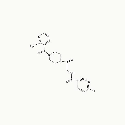 O=C(NCC(=O)N1CCN(C(=O)c2ccccc2C(F)(F)F)CC1)c1ccc(Cl)nn1